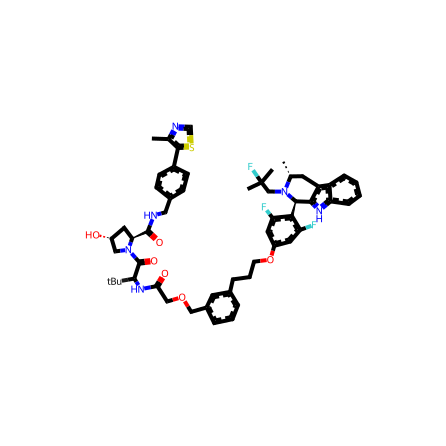 Cc1ncsc1-c1ccc(CNC(=O)[C@@H]2C[C@@H](O)CN2C(=O)C(NC(=O)COCc2cccc(CCCOc3cc(F)c([C@@H]4c5[nH]c6ccccc6c5C[C@@H](C)N4CC(C)(C)F)c(F)c3)c2)C(C)(C)C)cc1